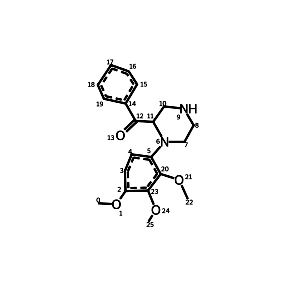 COc1ccc(N2CCNCC2C(=O)c2ccccc2)c(OC)c1OC